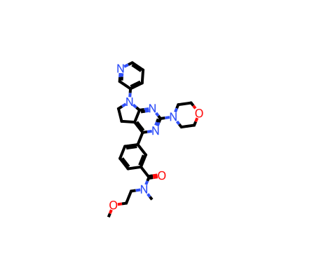 COCCN(C)C(=O)c1cccc(-c2nc(N3CCOCC3)nc3c2CCN3c2cccnc2)c1